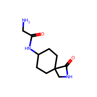 NCC(=O)NC1CCC2(CC1)CNC2=O